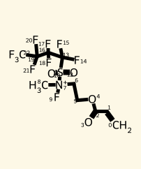 C=CC(=O)OCC[N+](C)(F)S(=O)(=O)C(F)(F)C(F)(F)C(F)(F)C(F)(F)F